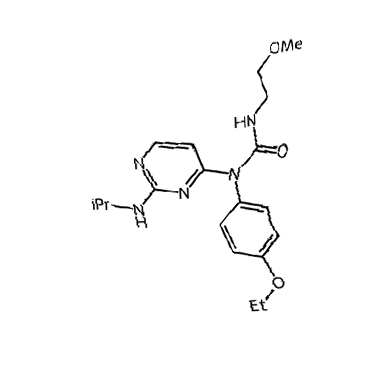 CCOc1ccc(N(C(=O)NCCOC)c2ccnc(NC(C)C)n2)cc1